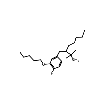 CCCCCOc1cc(CC(CCCCC)C(C)(C)[SiH3])ccc1F